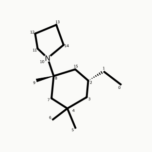 CC[C@@H]1CC(C)(C)C[C@](C)(N2CCCC2)C1